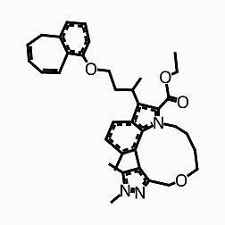 CCOC(=O)c1c(C(C)CCOc2cccc3c2C=CC=CC3)c2ccc(C)c3c2n1CCCCOCc1nn(C)c(C)c1-3